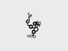 Cc1cccc(C2=C(c3ccc(CC4CCN(CCC(F)F)C4)cc3)c3ccc(C(=O)O)cc3CCC2)c1C(F)(F)F.Cl